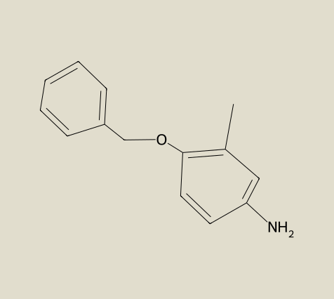 Cc1cc(N)ccc1OCc1ccccc1